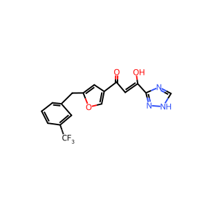 O=C(C=C(O)c1nc[nH]n1)c1coc(Cc2cccc(C(F)(F)F)c2)c1